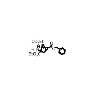 CCOC(=O)[C@H]1[C@H]2[C@@]13C(C[C@@]2(N)C(=O)OCC)C3C(=O)OCc1ccccc1